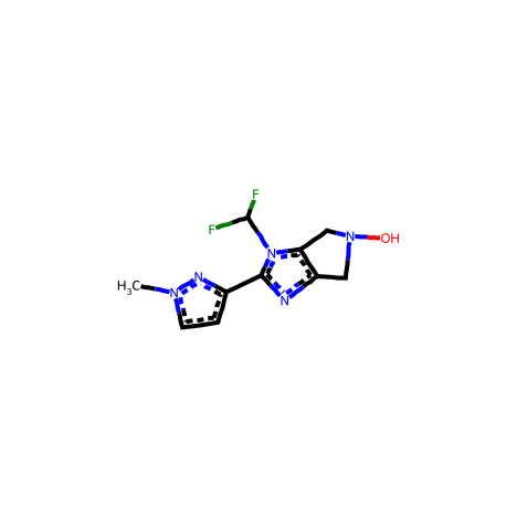 Cn1ccc(-c2nc3c(n2C(F)F)CN(O)C3)n1